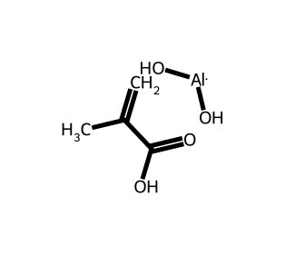 C=C(C)C(=O)O.[OH][Al][OH]